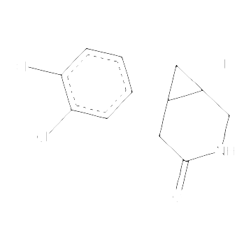 O=C1C[C@@]2(c3ccc(Cl)c(Cl)c3)C[C@H]2CN1